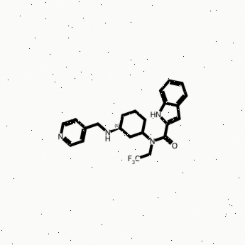 O=C(c1cc2ccccc2[nH]1)N(CC(F)(F)F)C1CCC[C@H](NCc2ccncc2)C1